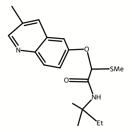 CCC(C)(C)NC(=O)C(Oc1ccc2ncc(C)cc2c1)SC